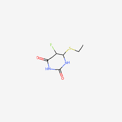 CCSC1NC(=O)NC(=O)C1F